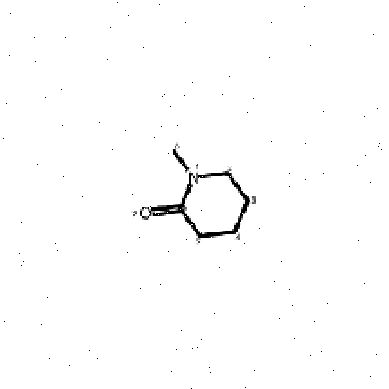 CN1[CH]CCCC1=O